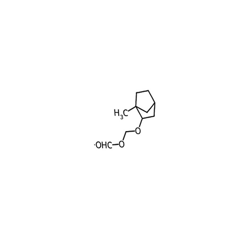 CC12CCC(CC1OCO[C]=O)C2